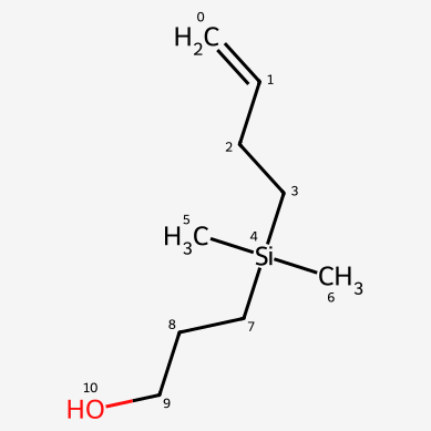 C=CCC[Si](C)(C)CCCO